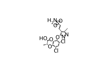 Cc1nn(C)c(Oc2cc(O[C@@H](C)C(=O)O)c(Cl)cc2Cl)c1C=CS(N)(=O)=O